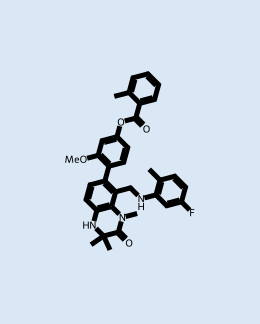 COc1cc(OC(=O)c2ccccc2C)ccc1-c1ccc2c(c1CNc1cc(F)ccc1C)N(C)C(=O)C(C)(C)N2